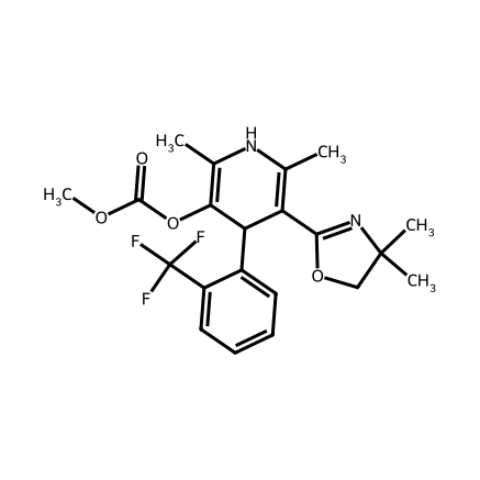 COC(=O)OC1=C(C)NC(C)=C(C2=NC(C)(C)CO2)C1c1ccccc1C(F)(F)F